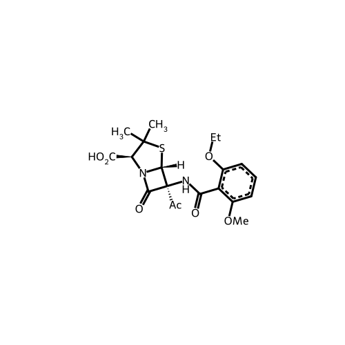 CCOc1cccc(OC)c1C(=O)N[C@@]1(C(C)=O)C(=O)N2[C@@H](C(=O)O)C(C)(C)S[C@@H]21